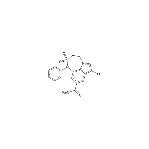 CCc1cn2c3c(cc(C(=O)OC)cc13)N(c1ccccc1)S(=O)(=O)CC2